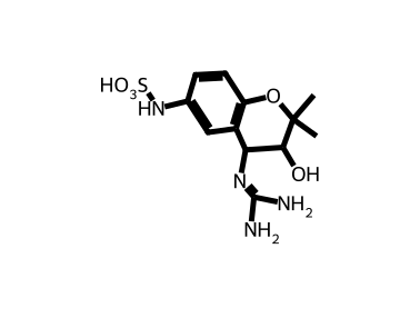 CC1(C)Oc2ccc(NS(=O)(=O)O)cc2C(N=C(N)N)C1O